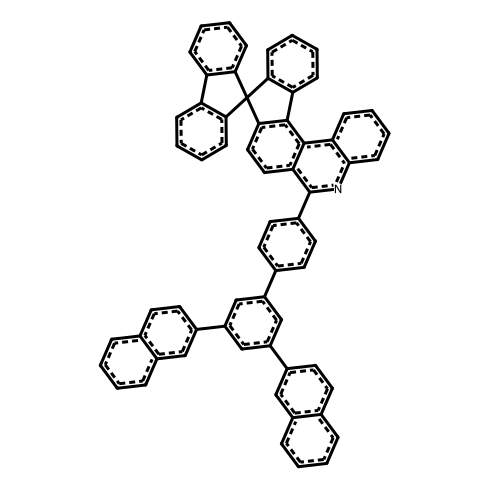 c1ccc2c(c1)-c1ccccc1C21c2ccccc2-c2c1ccc1c(-c3ccc(-c4cc(-c5ccc6ccccc6c5)cc(-c5ccc6ccccc6c5)c4)cc3)nc3ccccc3c21